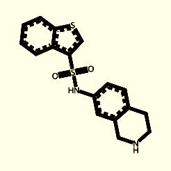 O=S(=O)(Nc1ccc2c(c1)CNCC2)c1csc2ccccc12